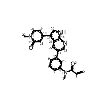 C=CC(=O)N(C)c1cccc(-c2cnc3[nH]cc(-c4ccn(C)c(=O)c4)c3c2)c1